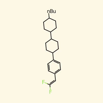 CCCCC1CCC(C2CCC(c3ccc(C=C(F)F)cc3)CC2)CC1